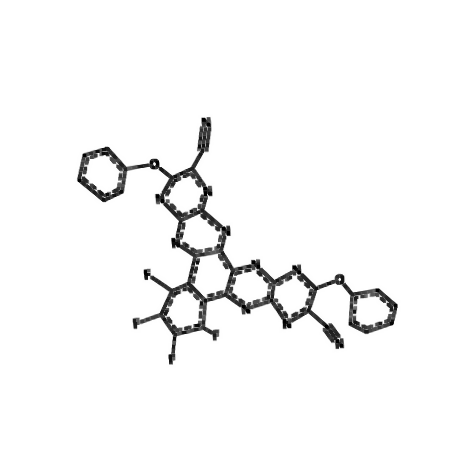 N#Cc1nc2nc3c4nc5nc(Oc6ccccc6)c(C#N)nc5nc4c4c(F)c(F)c(F)c(F)c4c3nc2nc1Oc1ccccc1